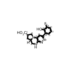 O=C(O)[C@@H]1C[C@@H]2CNc3nnc(-c4cccc(F)c4O)cc3N2C1